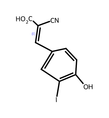 N#C/C(=C\c1ccc(O)c(I)c1)C(=O)O